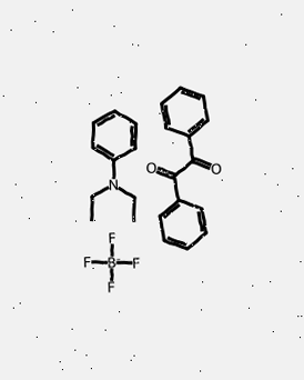 CCN(CC)c1ccccc1.F[B-](F)(F)F.O=C(C(=O)c1ccccc1)c1ccccc1